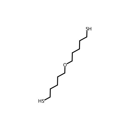 SCCCCCOCCCCCS